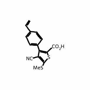 C=Cc1ccc(-c2c(C(=O)O)sc(SC)c2C#N)cc1